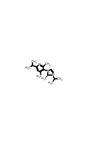 Cc1cc(C(C)C)nc(C)c1N1C=CN(C(C)C)[C@H]1C